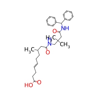 CC(CCC=CCCC(=O)O)CC(=O)NCC(C)(C)CC(=O)NC(c1ccccc1)c1ccccc1